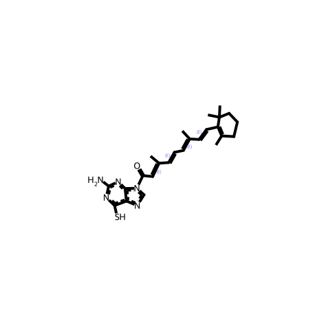 CC1=C(/C=C/C(C)=C/C=C/C(C)=C/C(=O)n2cnc3c(S)nc(N)nc32)C(C)(C)CCC1